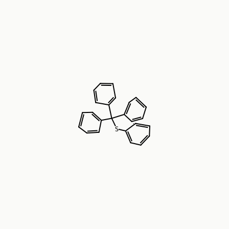 [c]1ccccc1SC(c1ccccc1)(c1ccccc1)c1ccccc1